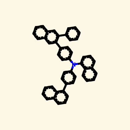 c1ccc(-c2cc3ccccc3cc2-c2ccc(N(c3ccc(-c4cccc5ccccc45)cc3)c3cccc4ccccc34)cc2)cc1